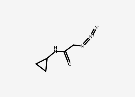 [N-]=[N+]=NCC(=O)NC1CC1